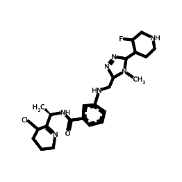 C[C@@H](NC(=O)c1cccc(NCC2N=NC(C3CCNCC3F)N2C)c1)C1=NCCCC1Cl